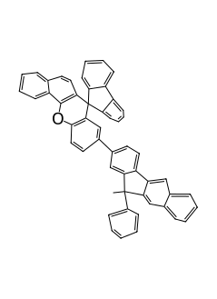 CC1(c2ccccc2)c2cc(-c3ccc4c(c3)C3(c5ccccc5-c5ccccc53)c3ccc5ccccc5c3O4)ccc2-c2cc3ccccc3cc21